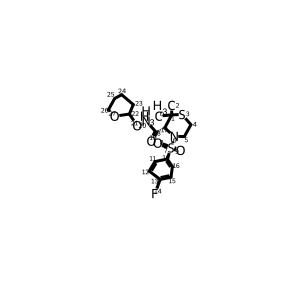 CC1(C)SCCN(S(=O)(=O)c2ccc(F)cc2)[C@@H]1C(=O)NOC1CCCCO1